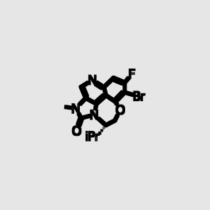 CC(C)[C@H]1COc2c(Br)c(F)cc3ncc4c(c23)n1c(=O)n4C